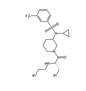 CC(C)CCN[C@@H](CC(C)C)C(=O)N1CCCC(N(C2CC2)S(=O)(=O)c2cccc(C(F)(F)F)c2)C1